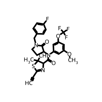 C#CC1=NC(C(=O)N(c2cc(OC)cc(OC(F)(F)F)c2)C2CCN(Cc3ccc(F)cc3)C2=O)C(C)(C)S1